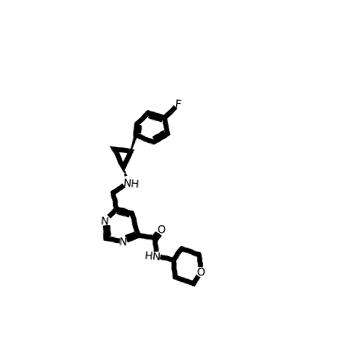 O=C(NC1CCOCC1)c1cc(CN[C@@H]2C[C@H]2c2ccc(F)cc2)ncn1